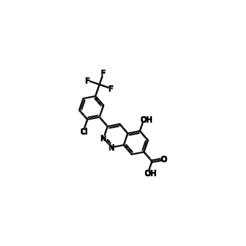 O=C(O)c1cc(O)c2cc(-c3cc(C(F)(F)F)ccc3Cl)nnc2c1